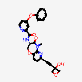 CN1C(=O)[C@@H](NC(=O)c2cc(Oc3ccccc3)ccn2)COc2ccc(C#CC3(O)COC3)nc21